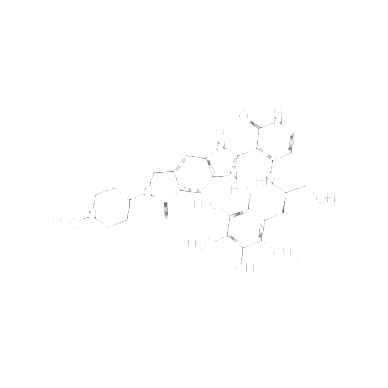 Cc1c(C)c(C)c(C[C@H](CO)Nc2cc[nH]c(=O)c2-c2nc3cc4c(cc3[nH]2)CN(C2CCN(C)CC2)C4=O)c(C)c1C